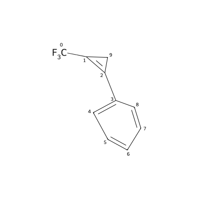 FC(F)(F)C1=C(c2ccccc2)C1